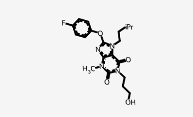 CC(C)CCn1c(Oc2ccc(F)cc2)nc2c1c(=O)n(CCCO)c(=O)n2C